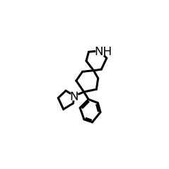 c1ccc(C2(N3CCCC3)CCC3(CCNCC3)CC2)cc1